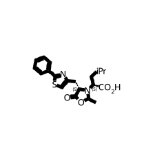 CC(C)C[C@@H](C(=O)O)N1C(C)OC(=O)[C@@H]1Cc1csc(-c2ccccc2)n1